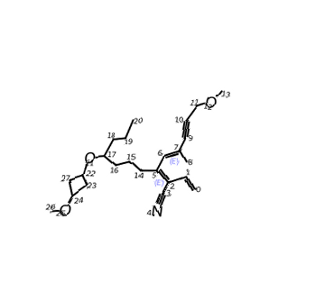 C=C/C(C#N)=C(\C=C(/C)C#CCOC)CCCC(CCC)OC1CC(OC)C1